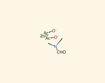 CC(=O)[O-].CC(=O)[O-].CN(C)C=O.[Zn+2]